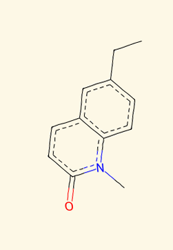 CCc1ccc2c(ccc(=O)n2C)c1